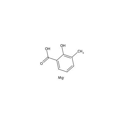 Cc1cccc(C(=O)O)c1O.[Mg]